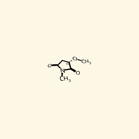 CO[C@H]1CC(=O)N(C)C1=O